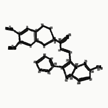 COc1cc2c(cc1OC)CN(C(=O)/C=C/c1c(-c3ccccc3)nc3ccc(C)nn13)CC2